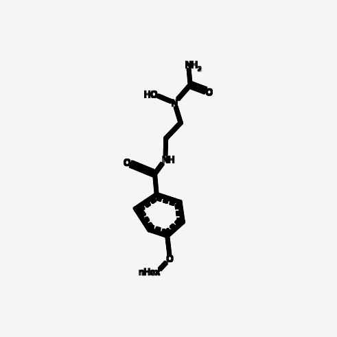 CCCCCCOc1ccc(C(=O)NCCN(O)C(N)=O)cc1